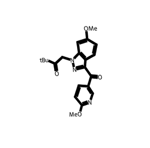 COc1ccc2c(C(=O)c3ccc(OC)nc3)nn(CC(=O)C(C)(C)C)c2c1